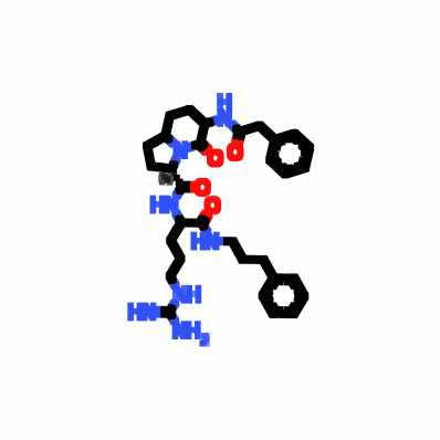 N=C(N)NCCCC(NC(=O)[C@@H]1CCC2CCC(NC(=O)Cc3ccccc3)C(=O)N21)C(=O)NCCCc1ccccc1